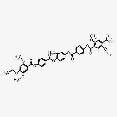 CCOc1cc(OC)c(C(=O)Oc2ccc(C(=O)Oc3ccc(OC(=O)c4ccc(OC(=O)c5cc(OC)c(C(C)O)cc5OC)cc4)cc3C)cc2)cc1OC